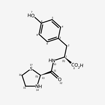 O=C(O)[C@H](Cc1ccc(O)cc1)NC(=O)[C@H]1NCCS1